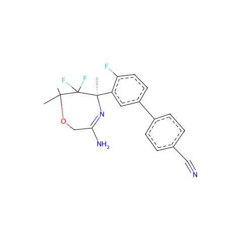 CC1(C)OCC(N)=N[C@](C)(c2cc(-c3ccc(C#N)cc3)ccc2F)C1(F)F